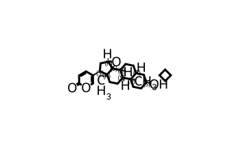 C1CCC1.C[C@]12CC[C@H](O)C[C@H]1CC[C@@H]1[C@@H]2CC[C@]2(C)[C@@H](c3ccc(=O)oc3)C[C@H]3O[C@]132